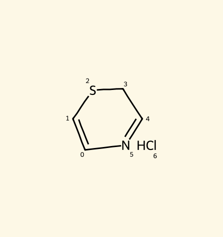 C1=CSCC=N1.Cl